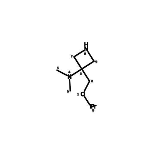 CC(C)OCC1(N(C)C)CNC1